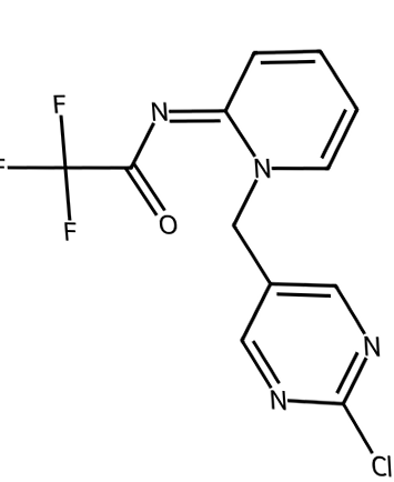 O=C(/N=c1/ccccn1Cc1cnc(Cl)nc1)C(F)(F)F